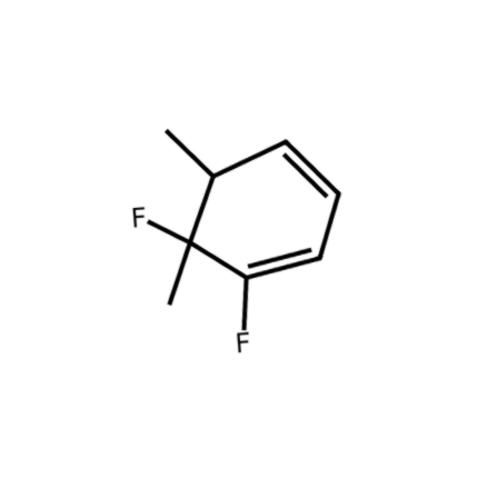 CC1C=CC=C(F)C1(C)F